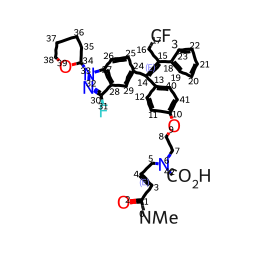 CNC(=O)/C=C/CN(CCOc1ccc(/C(=C(/CC(F)(F)F)c2ccccc2)c2ccc3c(c2)c(F)nn3C2CCCCO2)cc1)C(=O)O